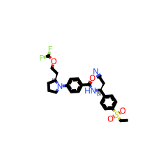 CCS(=O)(=O)c1ccc([C@H](CC#N)NC(=O)c2ccc(N3CCC[C@H]3CCOC(F)F)cc2)cc1